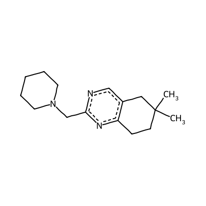 CC1(C)CCc2nc(CN3CCCCC3)ncc2C1